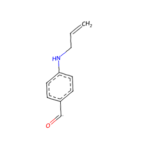 C=CCNc1ccc([C]=O)cc1